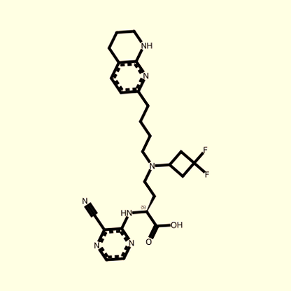 N#Cc1nccnc1N[C@@H](CCN(CCCCc1ccc2c(n1)NCCC2)C1CC(F)(F)C1)C(=O)O